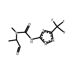 CC(C=O)N(C)C(=O)Nc1nnc(C(F)(F)F)s1